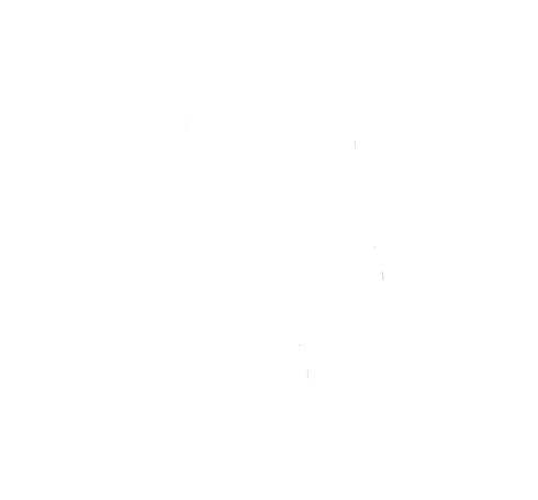 COc1ccc(-c2ccc(Cl)cc2)c(CCl)c1.COc1ccc(-c2ccc(Cl)cc2)c(CO)c1